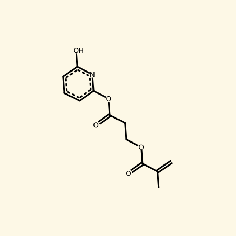 C=C(C)C(=O)OCCC(=O)Oc1cccc(O)n1